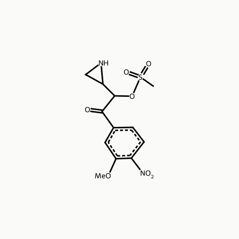 COc1cc(C(=O)C(OS(C)(=O)=O)C2CN2)ccc1[N+](=O)[O-]